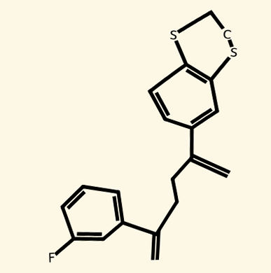 C=C(CCC(=C)c1ccc2c(c1)SCCS2)c1cccc(F)c1